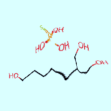 OCCCCCC(CO)CO.OP(O)(O)=S